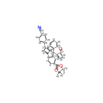 CC1(C)OB(c2ccc3c(c2)C2(c4ccccc4Oc4ccccc42)c2cc(-c4ccc(C#N)cc4)ccc2-3)OC1(C)C